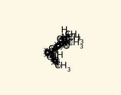 CNC(=O)C1(N2C[C@@H](C(C)C)NC2=O)Cc2ccc(NC(=O)[C@@H](NC(=O)c3ccc(C)cc3)C3CCCCC3)cc2C1